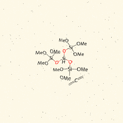 C=C=C.CO[Si](OC)(OC)O[SiH](O[Si](OC)(OC)OC)O[Si](OC)(OC)OC